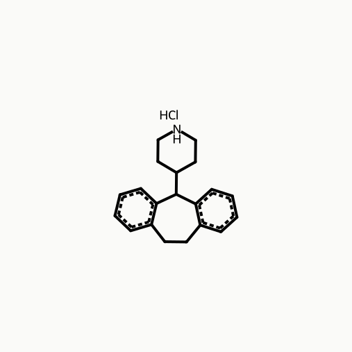 Cl.c1ccc2c(c1)CCc1ccccc1C2C1CCNCC1